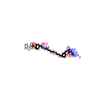 CC1(C)OCc2cc([C@H](O)CNCCCCCCOCCCCc3cccc(CN4C(=O)NC(NC(N)=O)C4=O)c3)ccc2O1